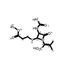 CCCC(=O)NC1C(=O)N(C(C(=O)O)=C(C)C)C1SCCC(=O)OC(C)C